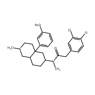 CC(=O)Oc1cccc(C23CCN(C)CC2CCC(N(C)C(=O)Cc2ccc(Cl)c(Cl)c2)C3)c1